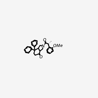 COc1ccccc1[C@@H](C)C(=O)N1CC2C(=O)CCC(c3ccccc3)(c3ccccc3)C2C1